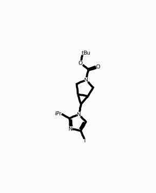 CC(C)c1nc(I)cn1C1C2CN(C(=O)OC(C)(C)C)CC21